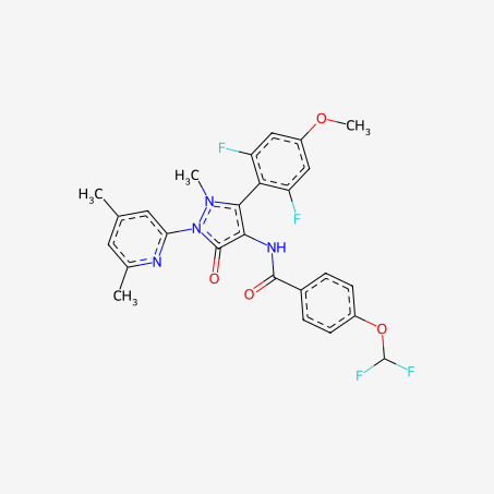 COc1cc(F)c(-c2c(NC(=O)c3ccc(OC(F)F)cc3)c(=O)n(-c3cc(C)cc(C)n3)n2C)c(F)c1